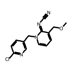 COCc1cccn(Cc2ccc(Cl)nc2)/c1=N/C#N